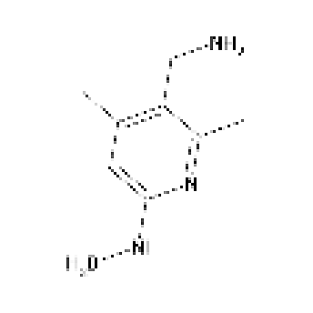 BNc1cc(C)c(CN)c(C)n1